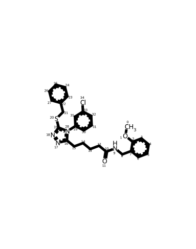 COc1ccccc1CNC(=O)CCCCc1nnc(SCc2ccccc2)n1-c1cccc(Cl)c1